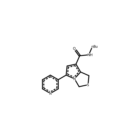 CCCCNC(=O)c1cc(-c2cccnc2)n2c1CSC2